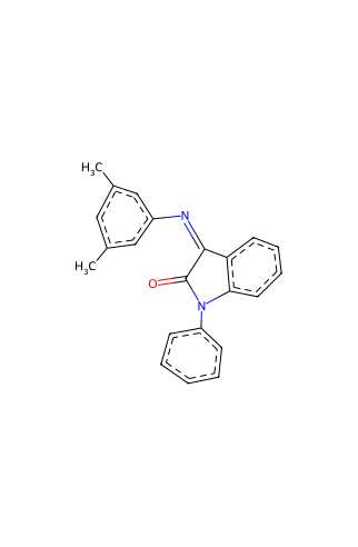 Cc1cc(C)cc(N=C2C(=O)N(c3ccccc3)c3ccccc32)c1